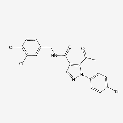 CC(=O)c1c(C(=O)NCc2ccc(Cl)c(Cl)c2)cnn1-c1ccc(Cl)cc1